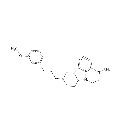 COc1cccc(CCCN2CCC3C(C2)c2cccc4c2N3CCN4C)c1